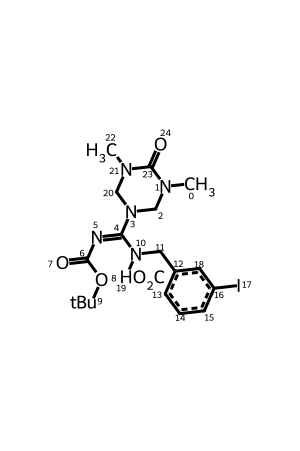 CN1CN(C(=NC(=O)OC(C)(C)C)N(Cc2cccc(I)c2)C(=O)O)CN(C)C1=O